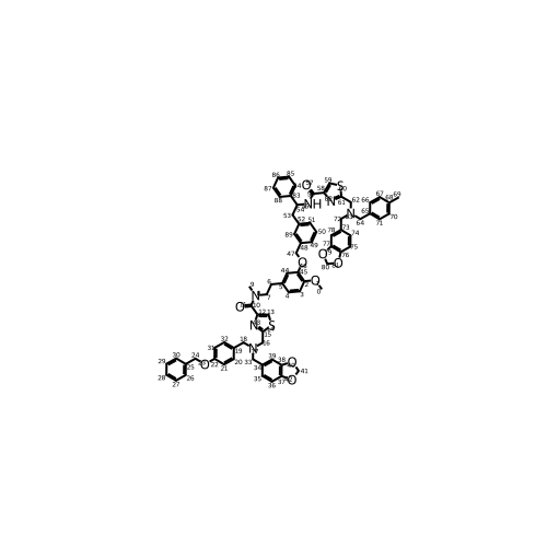 COc1ccc(CCN(C)C(=O)c2csc(CN(Cc3ccc(OCc4ccccc4)cc3)Cc3ccc4c(c3)OCO4)n2)cc1OCc1cccc(CC(NC(=O)c2csc(CN(Cc3ccc(C)cc3)Cc3ccc4c(c3)OCO4)n2)c2ccccc2)c1